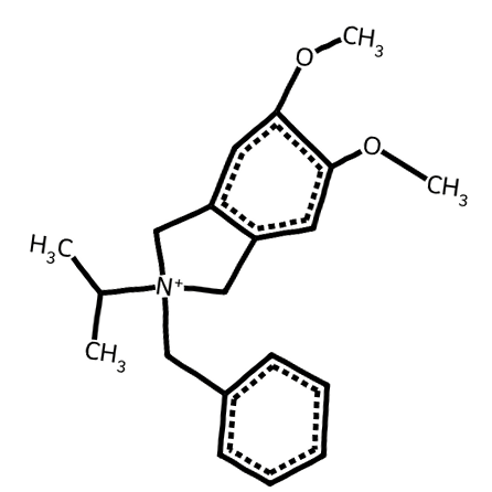 COc1cc2c(cc1OC)C[N+](Cc1ccccc1)(C(C)C)C2